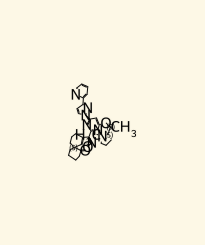 C[C@H](Oc1cc(-n2ccc(-c3ccccn3)n2)nc(-c2noc3c2CCC[C@@]32CCCCC2=O)n1)[C@@H]1CCCN1C